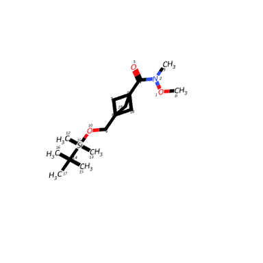 CON(C)C(=O)C12CC(CO[Si](C)(C)C(C)(C)C)(C1)C2